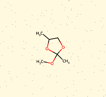 COC1(C)OCC(C)O1